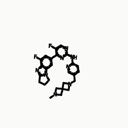 CN1CC2(C1)CN(Cc1ccc(Nc3ncc(F)c(-c4cc(F)c5nc6n(c5c4)CCC6)n3)nc1)C2